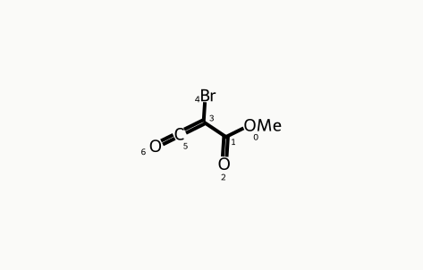 COC(=O)C(Br)=C=O